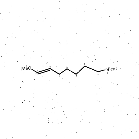 CCCCCCCCCCC=COC